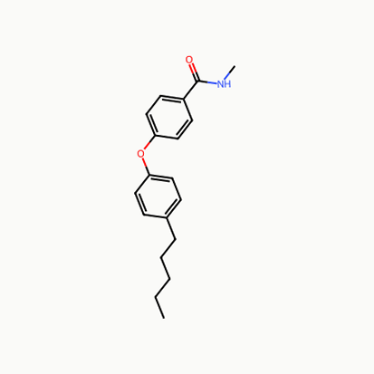 CCCCCc1ccc(Oc2ccc(C(=O)NC)cc2)cc1